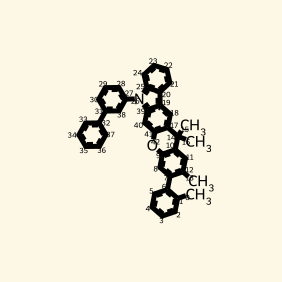 Cc1ccccc1-c1cc2c(cc1C)C(C)(C)c1cc3c4ccccc4n(-c4cccc(-c5ccccc5)c4)c3cc1O2